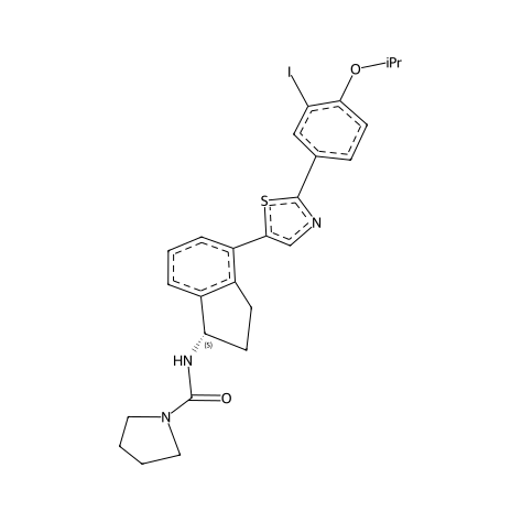 CC(C)Oc1ccc(-c2ncc(-c3cccc4c3CC[C@@H]4NC(=O)N3CCCC3)s2)cc1I